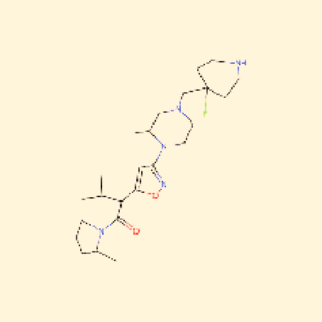 CC(C)C(C(=O)N1CCCC1C)c1cc(N2CCN(CC3(F)CCNCC3)CC2C)no1